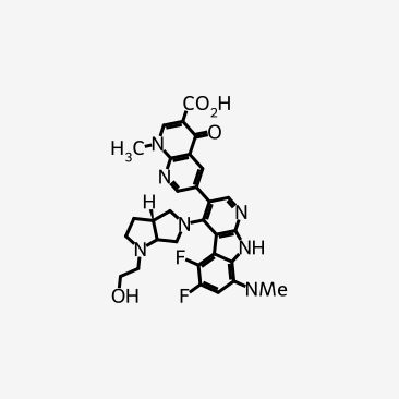 CNc1cc(F)c(F)c2c1[nH]c1ncc(-c3cnc4c(c3)c(=O)c(C(=O)O)cn4C)c(N3CC4[C@H](CCN4CCO)C3)c12